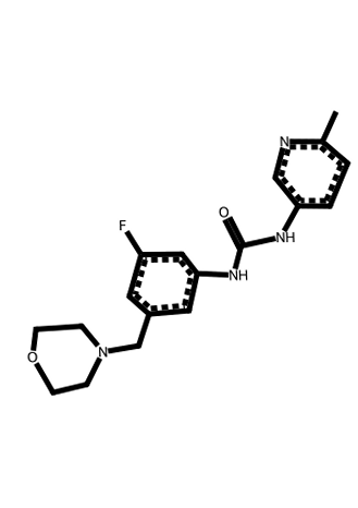 Cc1ccc(NC(=O)Nc2cc(F)cc(CN3CCOCC3)c2)cn1